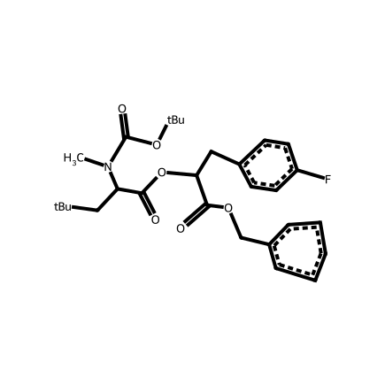 CN(C(=O)OC(C)(C)C)C(CC(C)(C)C)C(=O)OC(Cc1ccc(F)cc1)C(=O)OCc1ccccc1